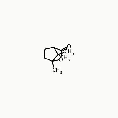 CC12CC[C](C(=O)O1)C2(C)C